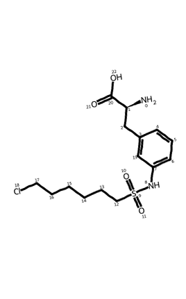 N[C@@H](Cc1cccc(NS(=O)(=O)CCCCCCCl)c1)C(=O)O